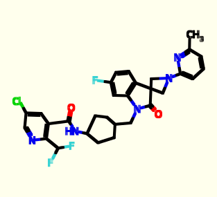 Cc1cccc(N2CC3(C2)C(=O)N(CC2CCC(NC(=O)c4cc(Cl)cnc4C(F)F)CC2)c2cc(F)ccc23)n1